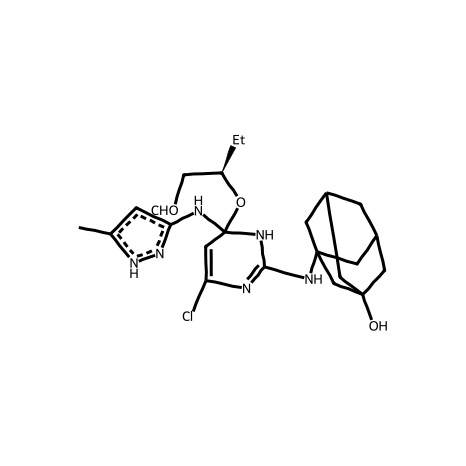 CC[C@H](CC=O)OC1(Nc2cc(C)[nH]n2)C=C(Cl)N=C(NC23CC4CC(CC(O)(C4)C2)C3)N1